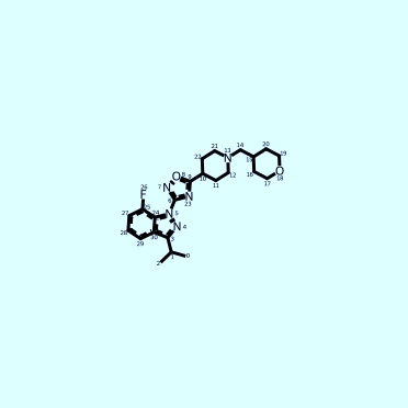 CC(C)c1nn(-c2noc(C3CCN(CC4CCOCC4)CC3)n2)c2c(F)cccc12